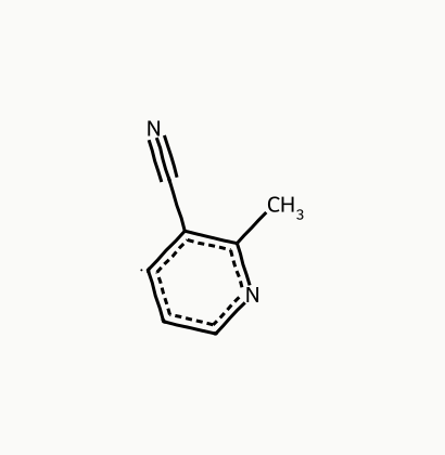 Cc1ncc[c]c1C#N